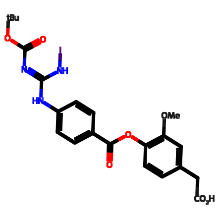 COc1cc(CC(=O)O)ccc1OC(=O)c1ccc(N/C(=N/C(=O)OC(C)(C)C)NI)cc1